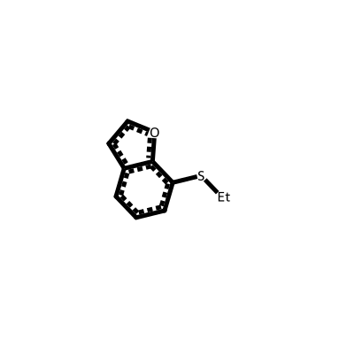 CCSc1cccc2ccoc12